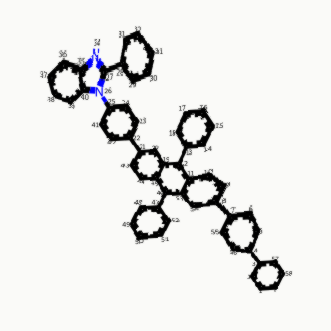 c1ccc(-c2ccc(-c3ccc4c(-c5ccccc5)c5cc(-c6ccc(-n7c(-c8ccccc8)nc8ccccc87)cc6)ccc5c(-c5ccccc5)c4c3)cc2)cc1